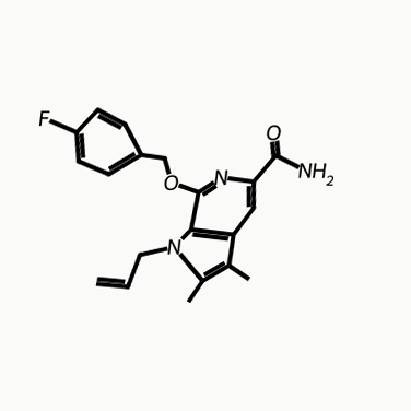 C=CCn1c(C)c(C)c2cc(C(N)=O)nc(OCc3ccc(F)cc3)c21